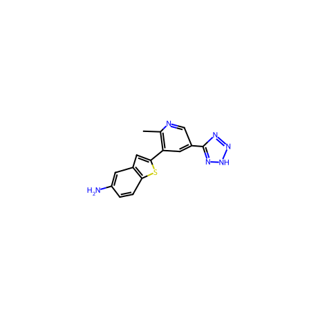 Cc1ncc(-c2nn[nH]n2)cc1-c1cc2cc(N)ccc2s1